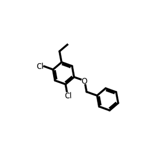 CCc1cc(OCc2ccccc2)c(Cl)cc1Cl